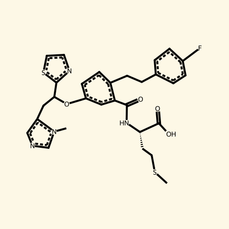 CSCC[C@H](NC(=O)c1cc(OC(Cc2cncn2C)c2nccs2)ccc1CCc1ccc(F)cc1)C(=O)O